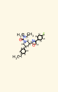 CCc1ccc(C2CC(c3nc(-c4ccc(F)cc4)co3)CN(C(=O)N(C)CC)C2)cc1